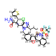 CCCc1nc(Cl)c(/C=C(\Cc2cccs2)C(N)=O)n1Cc1ccc2oc(-c3ccccc3NS(=O)(=O)C(F)(F)F)c(Br)c2c1